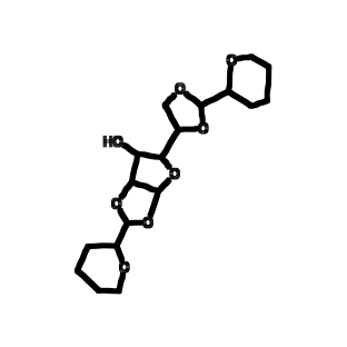 OC1C(C2COC(C3CCCCO3)O2)OC2OC(C3CCCCO3)OC21